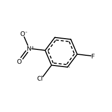 O=[N+]([O-])c1ccc(F)[c]c1Cl